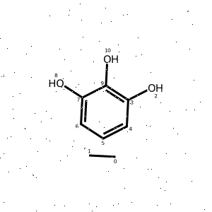 CC.Oc1cccc(O)c1O